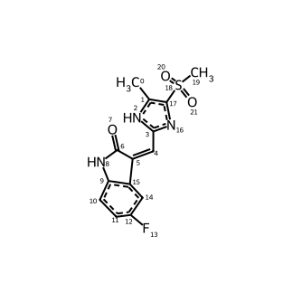 Cc1[nH]c(/C=C2\C(=O)Nc3ccc(F)cc32)nc1S(C)(=O)=O